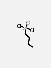 CCC[CH2][Sn]([Cl])([Cl])[Cl]